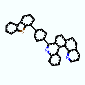 c1cnc2c(c1)ccc1ccc3c(-c4ccc(-c5cccc6c5sc5ccccc56)cc4)nc4ccccc4c3c12